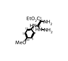 CCOC(=O)/C(N)=C(/NN)Nc1ccc(OC)cc1